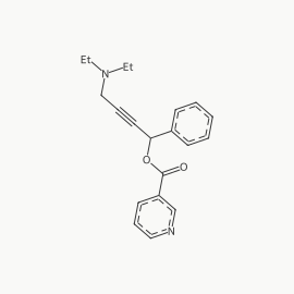 CCN(CC)CC#CC(OC(=O)c1cccnc1)c1ccccc1